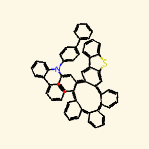 c1ccc(-c2ccc(N(c3ccc4c5ccccc5c5ccccc5c5ccccc5c5cc6sc7ccccc7c6cc5c4c3)c3ccccc3-c3ccccc3)cc2)cc1